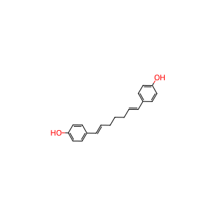 Oc1ccc(C=CCCCC=Cc2ccc(O)cc2)cc1